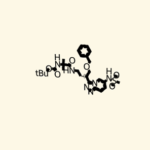 CC(C)(C)OC(=O)NC(C)(C)C(=O)NCC[C@H](COCc1ccccc1)c1nnc2ccc(NS(C)(=O)=O)cn12